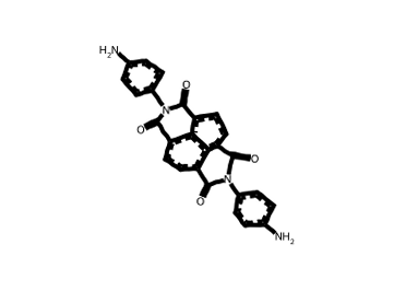 Nc1ccc(N2C(=O)c3ccc4c5c(ccc(c35)C2=O)C(=O)N(c2ccc(N)cc2)C4=O)cc1